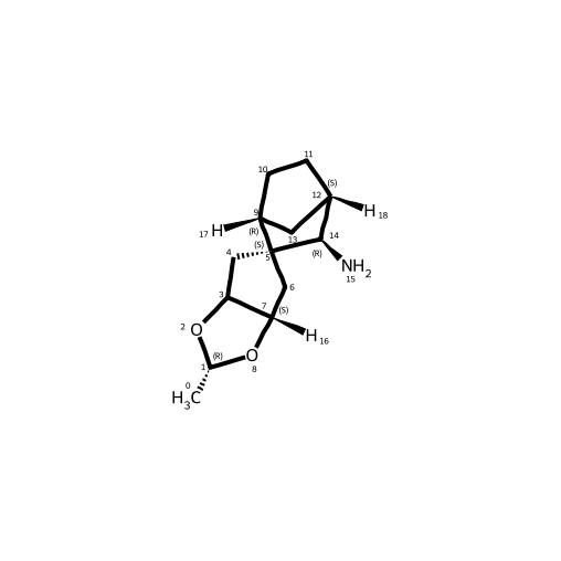 C[C@@H]1OC2C[C@]3(C[C@@H]2O1)[C@@H]1CC[C@@H](C1)[C@H]3N